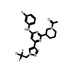 CC(=O)N1CCCC(c2nc(Nc3cccc(F)c3)cc(-c3cnn(CC(F)(F)F)c3)n2)C1